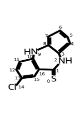 S=C1Nc2ccccc2Nc2ccc(Cl)cc21